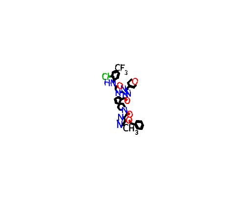 Cc1ncnc(C(=O)N2CCC3(C=Cc4c3c(=O)n3nc(C5=CCOCC5)nc3n4CC(=O)Nc3ccc(C(F)(F)F)cc3Cl)CC2)c1OCc1ccccc1